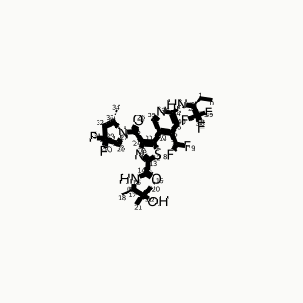 CC[C@H](Nc1cc(C(F)F)c(-c2sc(C(=O)N[C@H](C)C(C)(C)O)nc2C(=O)N2CC(F)(F)C[C@@H]2C)cn1)C(F)(F)F